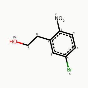 O=[N+]([O-])c1ccc(Br)cc1CCO